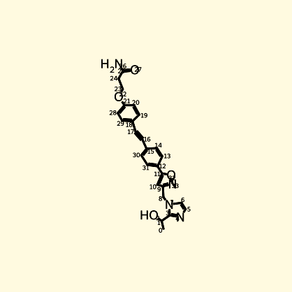 CC(O)c1nccn1Cc1cc(-c2ccc(C#Cc3ccc(OCCC(N)=O)cc3)cc2)on1